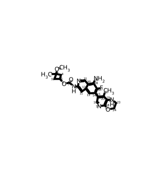 COC1(C)CC(OC(=O)Nc2cc3cc(-c4cnc5c(c4C)NCCO5)c(F)c(N)c3cn2)C1